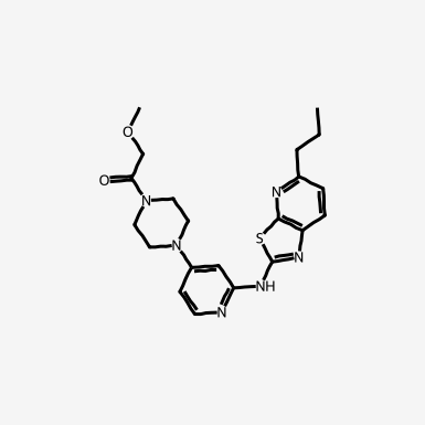 CCCc1ccc2nc(Nc3cc(N4CCN(C(=O)COC)CC4)ccn3)sc2n1